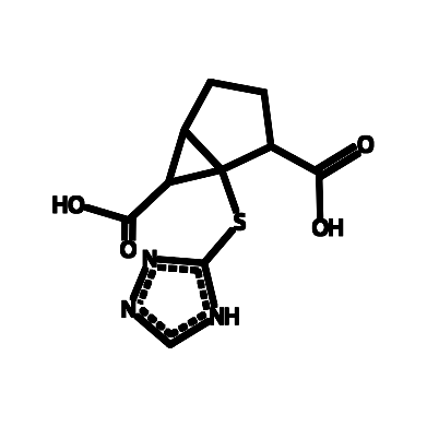 O=C(O)C1CCC2C(C(=O)O)C12Sc1nnc[nH]1